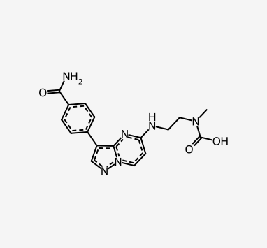 CN(CCNc1ccn2ncc(-c3ccc(C(N)=O)cc3)c2n1)C(=O)O